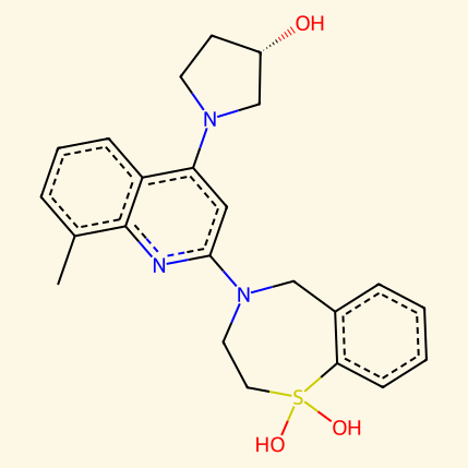 Cc1cccc2c(N3CC[C@H](O)C3)cc(N3CCS(O)(O)c4ccccc4C3)nc12